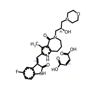 Cc1c(/C=C2\C(=O)Nc3ccc(F)cc32)[nH]c2c1C(=O)N(C[C@H](O)CN1CCOCC1)CCC2.O=C(O)/C=C\C(=O)O